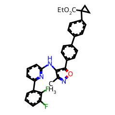 CCOC(=O)C1(c2ccc(-c3ccc(-c4onc(C)c4Nc4cccc(-c5cccc(F)c5F)n4)cc3)cc2)CC1